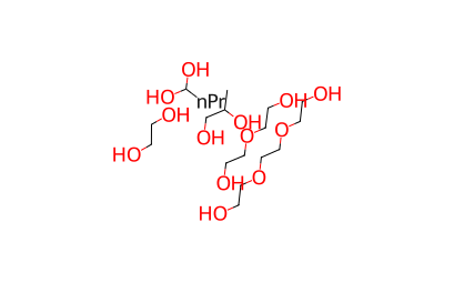 CC(O)CO.CCCC(O)O.OCCO.OCCOCCO.OCCOCCOCCO